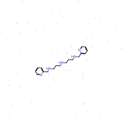 c1ccc(CNCCCNCCCNCc2ccccn2)nc1